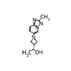 Cc1nc2ccc(N3CC(C(C)O)C3)cn2n1